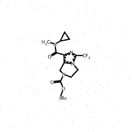 CN(C(=O)c1nc(C(F)(F)F)n2c1CN(C(=O)OC(C)(C)C)CC2)C1CC1